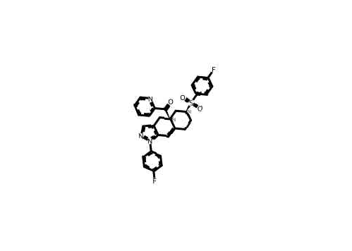 O=C(c1ccccn1)[C@]12Cc3cnn(-c4ccc(F)cc4)c3C=C1CC[C@H](S(=O)(=O)c1ccc(F)cc1)C2